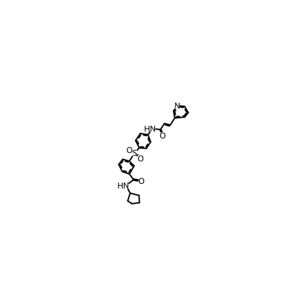 O=C(/C=C/c1cccnc1)Nc1ccc(S(=O)(=O)c2cccc(C(=O)NC3CCCC3)c2)cc1